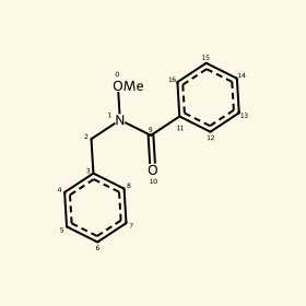 CON(Cc1ccccc1)C(=O)c1ccccc1